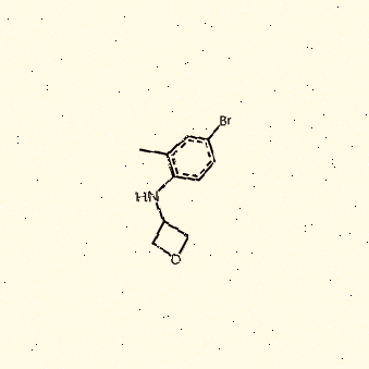 Cc1cc(Br)ccc1NC1COC1